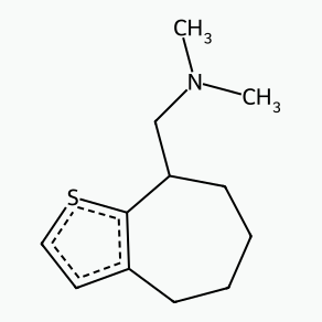 CN(C)CC1CCCCc2ccsc21